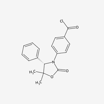 CC1(C)OC(=O)N(c2ccc(C(=O)Cl)cc2)[C@H]1c1ccccc1